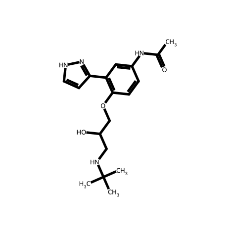 CC(=O)Nc1ccc(OCC(O)CNC(C)(C)C)c(-c2cc[nH]n2)c1